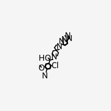 COc1cc(C(O)CN2CCC3(CC2)CCN(c2ccc4nncn4n2)C3)c(Cl)cc1C#N